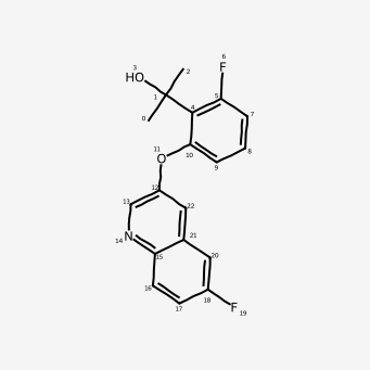 CC(C)(O)c1c(F)cccc1Oc1cnc2ccc(F)cc2c1